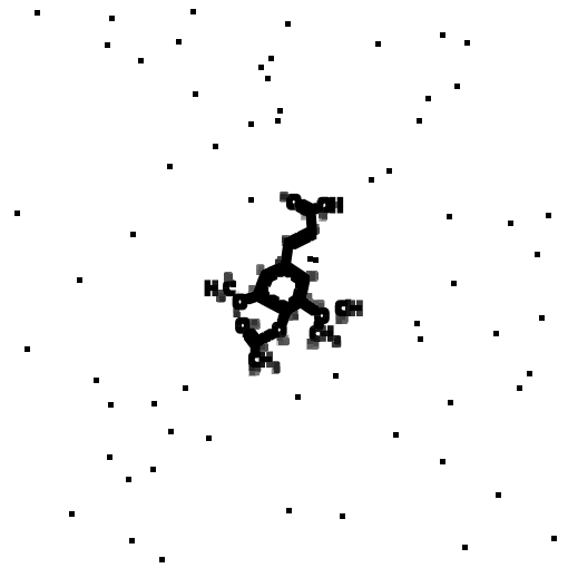 COc1cc(C=CC(=O)O)cc(OC)c1OC(C)=O.Cl